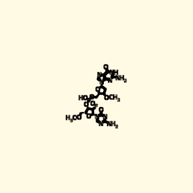 COC[C@H]1O[C@@H](n2cnc(N)nc2=O)C(F)[C@H]1OP(=O)(O)OC[C@H]1O[C@@H](n2cnc3c(=O)[nH]c(N)nc32)CC1OC